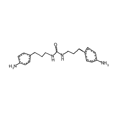 Nc1ccc(CCCNC(=O)NCCCc2ccc(N)cc2)cc1